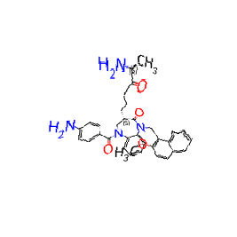 COc1ccc2ccccc2c1CN1C(=O)[C@@H](CCCC(=O)[C@H](C)N)CN(C(=O)c2ccc(N)cc2)c2ccccc21